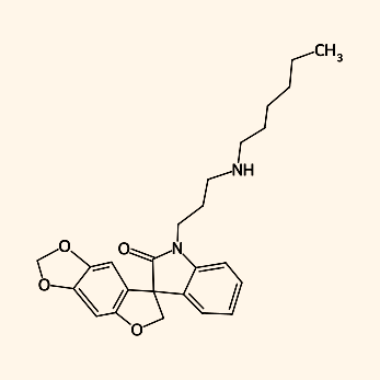 CCCCCCNCCCN1C(=O)C2(COc3cc4c(cc32)OCO4)c2ccccc21